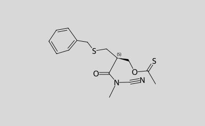 CC(=S)OC[C@H](CSCc1ccccc1)C(=O)N(C)C#N